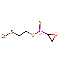 CCSCCS[PH](=S)C1CO1